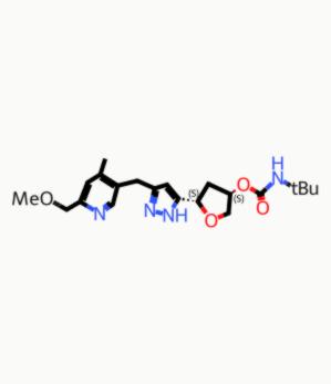 COCc1cc(C)c(Cc2cc([C@@H]3C[C@H](OC(=O)NC(C)(C)C)CO3)[nH]n2)cn1